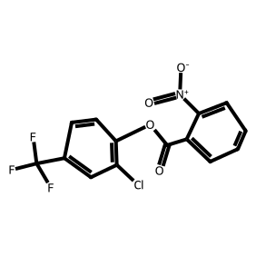 O=C(Oc1ccc(C(F)(F)F)cc1Cl)c1ccccc1[N+](=O)[O-]